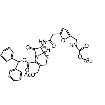 CC(=O)OCC1=C(C(=O)OC(c2ccccc2)c2ccccc2)N2C(=O)[C@@H](NC(=O)Cc3ccc(CNC(=O)OC(C)(C)C)o3)[C@H]2SC1